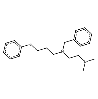 CN(C)CCN(CCCSc1ccccc1)Cc1ccccc1